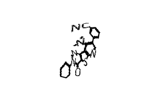 CN(C)c1c(-c2cccc(C#N)c2)cnc2sc3c(=O)n(C4CCCCC4)cnc3c12